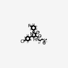 C[C@@H](C[S@+](C)[O-])NC(=O)c1cc(-c2ccc(Cl)cc2)nn(-c2cccc(F)c2)c1=O